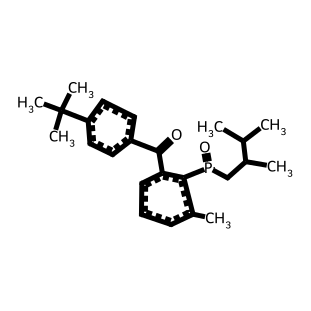 Cc1cccc(C(=O)c2ccc(C(C)(C)C)cc2)c1[P](=O)CC(C)C(C)C